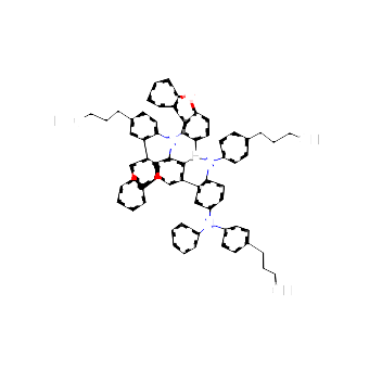 CCCCc1ccc(N2B3c4ccc5oc6ccccc6c5c4N(c4ccc(CCCC)cc4-c4ccccc4)c4cc(-c5ccccc5)cc(c43)-c3cc(N(c4ccccc4)c4ccc(CCCC)cc4)ccc32)cc1